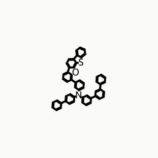 c1ccc(-c2ccc(N(c3cccc(-c4cccc(-c5ccccc5)c4)c3)c3cccc(-c4cccc5c4oc4c5ccc5c6ccccc6sc54)c3)cc2)cc1